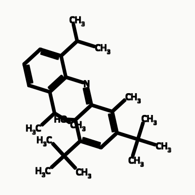 CC1=C(C(C)(C)C)C=C(C(C)(C)C)C(O)C1=Nc1c(C(C)C)cccc1C(C)C